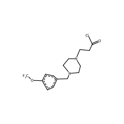 O=C(Cl)CCN1CCN(Cc2ccc(OC(F)(F)F)cc2)CC1